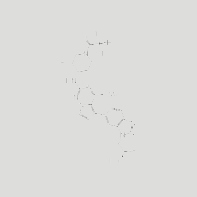 [2H]C([2H])([2H])C(=O)N1CC[C@H](Nc2nc(OC)c3c(-c4ccc5nnn(C[C@H](C)F)c5c4)ccn3n2)[C@H](F)C1